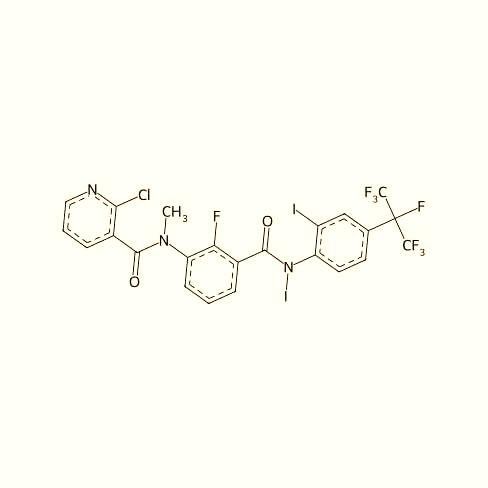 CN(C(=O)c1cccnc1Cl)c1cccc(C(=O)N(I)c2ccc(C(F)(C(F)(F)F)C(F)(F)F)cc2I)c1F